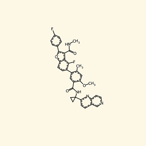 CNC(=O)c1c(-c2ccc(F)cc2)oc2ccc(-c3cc(C(=O)NC4(c5ccc6cnccc6n5)CC4)c(OC)cc3C)c(F)c12